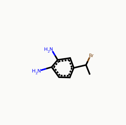 CC(Br)c1ccc(N)c(N)c1